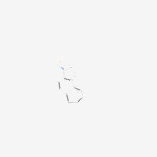 O/N=C1\CCc2c1ccc1ccccc21